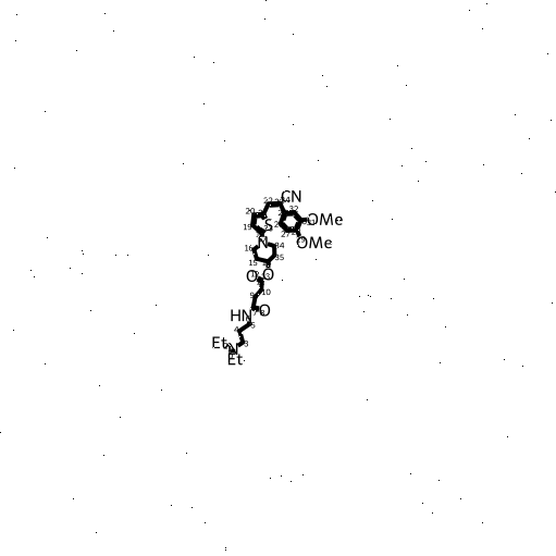 CCN(CC)CCCNC(=O)CCC(=O)OC1CCN(c2ccc(C=C(C#N)c3ccc(OC)c(OC)c3)s2)CC1